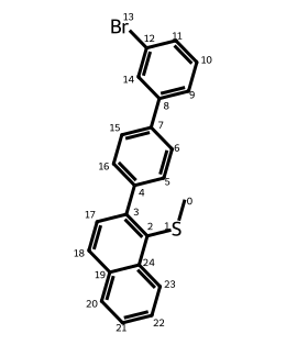 CSc1c(-c2ccc(-c3cccc(Br)c3)cc2)ccc2ccccc12